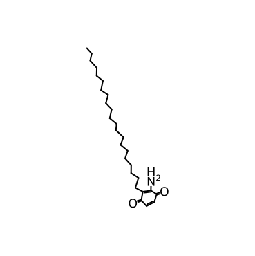 CCCCCCCCCCCCCCCCCCCCCC1=C(N)C(=O)C=CC1=O